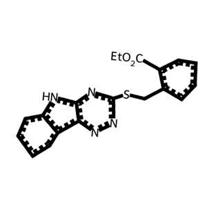 CCOC(=O)c1ccccc1CSc1nnc2c(n1)[nH]c1ccccc12